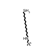 C[N+](C)(C)CCNCCCCCCCCCCCCCC[SiH3]